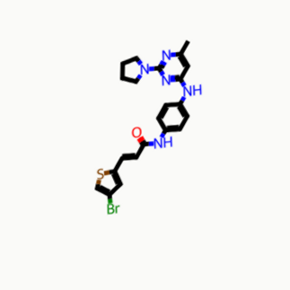 Cc1cc(Nc2ccc(NC(=O)/C=C/c3cc(Br)cs3)cc2)nc(N2CCCC2)n1